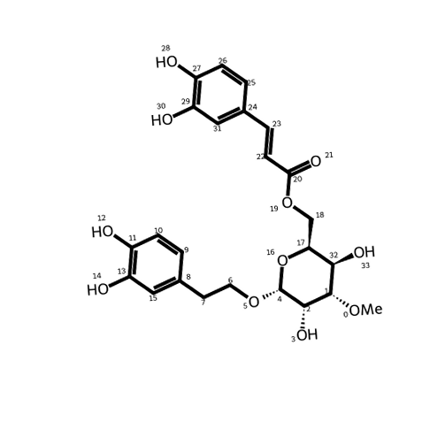 CO[C@@H]1[C@H](O)[C@H](OCCc2ccc(O)c(O)c2)O[C@@H](COC(=O)/C=C/c2ccc(O)c(O)c2)[C@H]1O